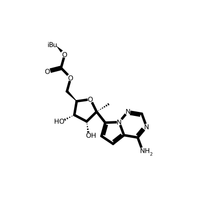 CC[C@H](C)OC(=O)OC[C@H]1O[C@@](C)(c2ccc3c(N)ncnn23)[C@H](O)[C@@H]1O